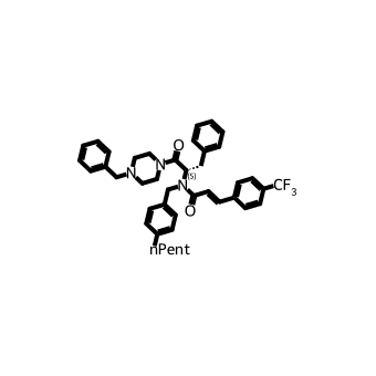 CCCCCc1ccc(CN(C(=O)C=Cc2ccc(C(F)(F)F)cc2)[C@@H](Cc2ccccc2)C(=O)N2CCN(Cc3ccccc3)CC2)cc1